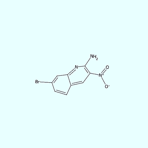 Nc1nc2cc(Br)ccc2cc1[N+](=O)[O-]